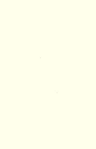 c1ccc(C(c2ccccc2)(c2ccccn2)c2ccccn2)cc1